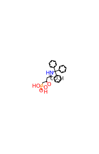 O=C(C[C@H](NC(c1ccccc1)(c1ccccc1)c1ccccc1)C(=O)O)CP(=O)(O)O